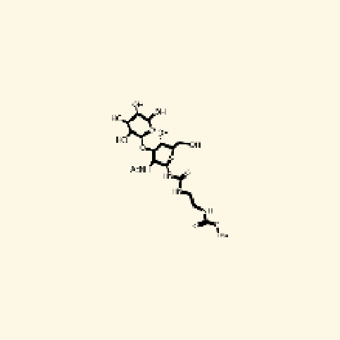 CC(=O)NC1C(O[C@@H]2OC(O)[C@H](O)C(O)C2O)[C@H](O)C(CO)O[C@H]1NC(=O)NCCNC(=O)OC(C)(C)C